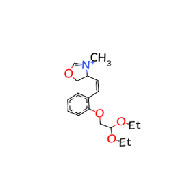 CCOC(COc1ccccc1/C=C\C1COC=[N+]1C)OCC